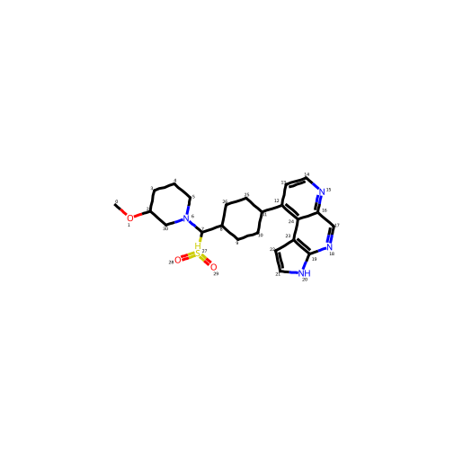 COC1CCCN(C(C2CCC(c3ccnc4cnc5[nH]ccc5c34)CC2)[SH](=O)=O)C1